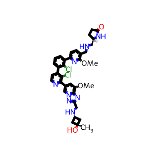 COc1nc(-c2cccc(-c3ccnc(-c4cc(OC)c5nc(CN[C@H]6C[C@@](C)(O)C6)nn5c4)c3Cl)c2Cl)ccc1CNC[C@H]1CCC(=O)N1